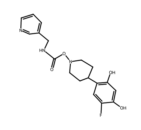 O=C(NCc1cccnc1)ON1CCC(c2cc(F)c(O)cc2O)CC1